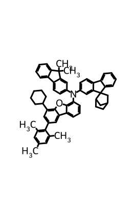 Cc1cc(C)c(-c2cc(C3CCCCC3)c3oc4c(N(c5ccc6c(c5)C(C)(C)c5ccccc5-6)c5ccc6c(c5)C5(CC7CCC5C7)c5ccccc5-6)cccc4c3c2)c(C)c1